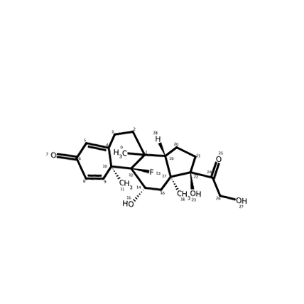 CC12CCC3=CC(=O)C=C[C@]3(C)[C@@]1(F)[C@@H](O)C[C@@]1(C)[C@H]2CC[C@]1(O)C(=O)CO